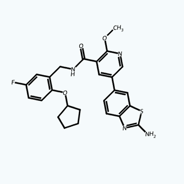 COc1ncc(-c2ccc3nc(N)sc3c2)cc1C(=O)NCc1cc(F)ccc1OC1CCCC1